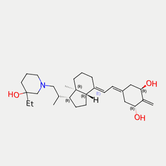 C=C1[C@H](O)CC(=C/C=C2\CCC[C@]3(C)[C@@H](C(C)CN4CCCC(O)(CC)C4)CC[C@@H]23)C[C@H]1O